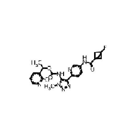 C[C@@H](OC(=O)Nc1c(-c2ccc(NC(=O)C34CC(F)(C3)C4)cn2)nnn1C)c1cccnc1Cl